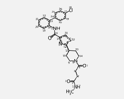 CNC(=O)CCC(=O)N1CCC(c2nc(C(=O)Nc3ccccc3-c3ccc(Cl)cc3)cs2)CC1